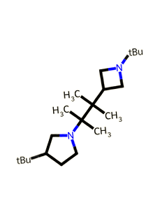 CC(C)(C)C1CCN(C(C)(C)C(C)(C)C2CN(C(C)(C)C)C2)C1